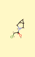 O=C(CCl)N1CC2CC2C1